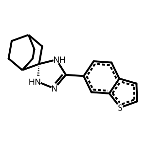 c1cc2ccc(C3=NN[C@]4(CC5CCC4CC5)N3)cc2s1